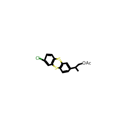 CC(=O)OCC(C)c1ccc2c(c1)Sc1ccc(Cl)cc1S2